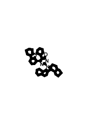 c1ccc2c(c1)ccc1c2c2ccc3ccccc3c2n1-c1nc(-c2cccc3c2sc2ccccc23)c2c(n1)oc1ccccc12